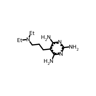 CCN(CC)CCCc1c(N)nc(N)nc1N